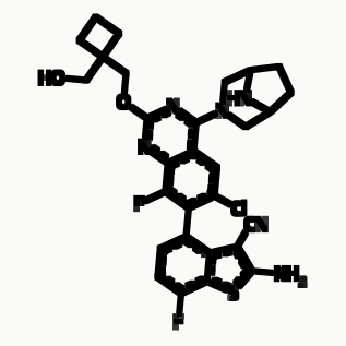 N#Cc1c(N)sc2c(F)ccc(-c3c(Cl)cc4c(N5CC6CCC(C5)N6)nc(OCC5(CO)CCC5)nc4c3F)c12